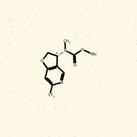 CN(C(=O)OC(C)(C)C)[C@H]1COc2cc(C(F)(F)F)ncc21